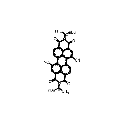 CCCC[C@H](C)N1C(=O)c2ccc3c4c(C#N)cc5c6c(ccc(c7c(C#N)cc(c2c37)C1=O)c64)C(=O)N([C@@H](C)CCCC)C5=O